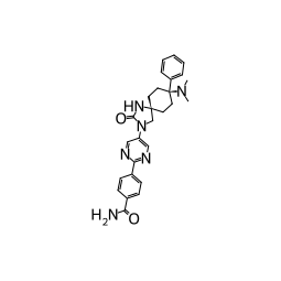 CN(C)[C@]1(c2ccccc2)CC[C@@]2(CC1)CN(c1cnc(-c3ccc(C(N)=O)cc3)nc1)C(=O)N2